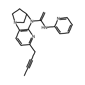 C=C(Nc1ccccn1)N1c2nc(CC#CC)ccc2N2CCC1C2